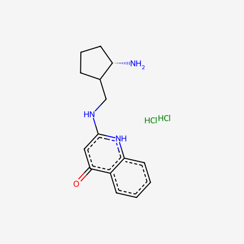 Cl.Cl.N[C@H]1CCCC1CNc1cc(=O)c2ccccc2[nH]1